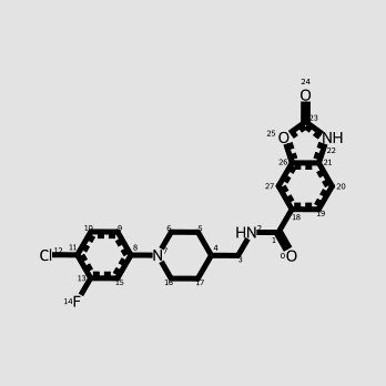 O=C(NCC1CCN(c2ccc(Cl)c(F)c2)CC1)c1ccc2[nH]c(=O)oc2c1